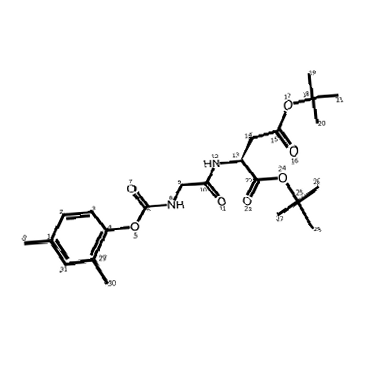 Cc1ccc(OC(=O)NCC(=O)N[C@@H](CC(=O)OC(C)(C)C)C(=O)OC(C)(C)C)c(C)c1